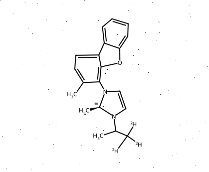 [2H]C([2H])([2H])C(C)N1C=CN(c2c(C)ccc3c2oc2ccccc23)[C@@H]1C